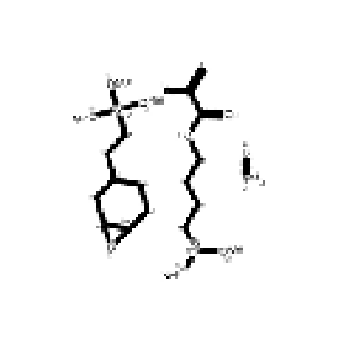 C=C(C)C(=O)OCCCC[SiH](OC)OC.CO[Si](CCC1CCC2OC2C1)(OC)OC.O=[SiH2]